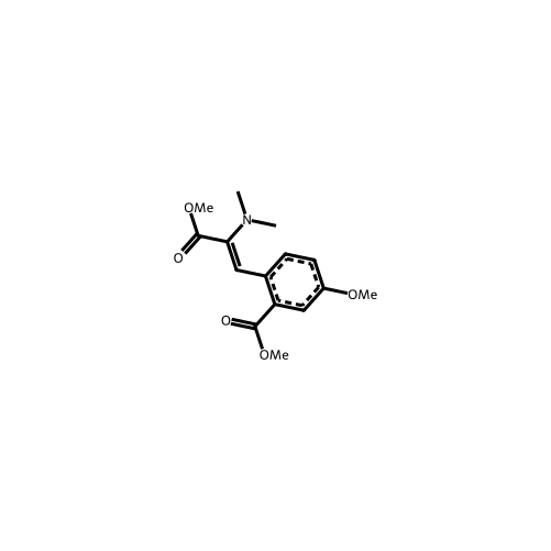 COC(=O)C(=Cc1ccc(OC)cc1C(=O)OC)N(C)C